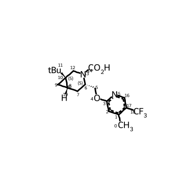 Cc1cc(OC[C@@H]2C[C@@H]3C[C@]3(C(C)(C)C)CN2C(=O)O)ncc1C(F)(F)F